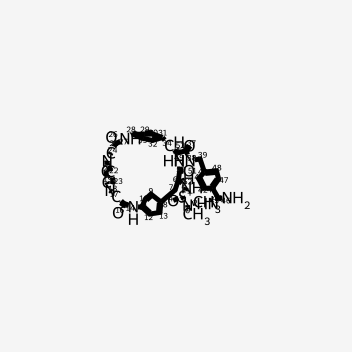 CN(C)[S+]([O-])N[C@@H]1Cc2ccc(cc2)NC(=O)CN2CCN(CC2)CC(=O)Nc2ccc(cc2)C[C@@H](C(=O)NCc2ccc(C(=N)N)cc2)NC1=O